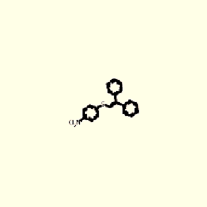 O=[N+]([O-])c1ccc(SC=C(c2ccccc2)c2ccccc2)cc1